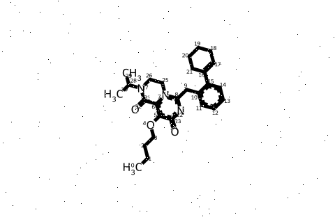 CCCCOc1c2n(c(Cc3ccccc3C3=CCCCC3)nc1=O)CCN(C(C)C)C2=O